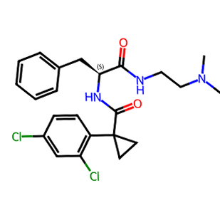 CN(C)CCNC(=O)[C@H](Cc1ccccc1)NC(=O)C1(c2ccc(Cl)cc2Cl)CC1